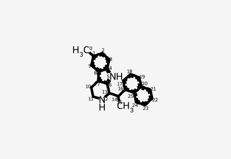 Cc1ccc2[nH]c3c(c2c1)CCNC3C(C)c1cccc2ccccc12